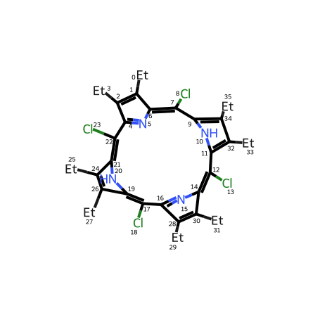 CCC1=C(CC)c2nc1c(Cl)c1[nH]c(c(Cl)c3nc(c(Cl)c4[nH]c(c2Cl)c(CC)c4CC)C(CC)=C3CC)c(CC)c1CC